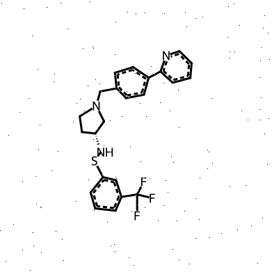 FC(F)(F)c1cccc(SN[C@@H]2CCN(Cc3ccc(-c4ccccn4)cc3)C2)c1